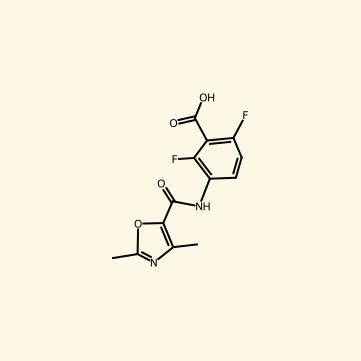 Cc1nc(C)c(C(=O)Nc2ccc(F)c(C(=O)O)c2F)o1